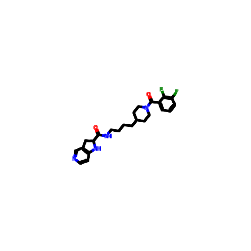 O=C(NCCCCC1CCN(C(=O)c2cccc(F)c2F)CC1)C1Cc2cnccc2N1